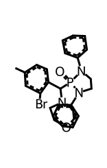 Cc1ccc(C(N2CCOCC2)P2(=O)N(c3ccccc3)CCN2c2ccccc2)c(Br)c1